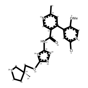 COc1cnc(Cl)cc1-c1cc(C)ncc1C(=O)Nc1nnc(OC[C@@]2(C)CCSC2)s1